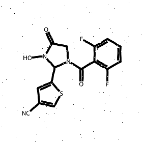 N#Cc1csc(C2N(O)C(=O)CN2C(=O)c2c(F)cccc2F)c1